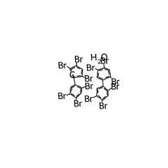 Brc1cc(Br)c(-c2cc(Br)c(Br)cc2Br)cc1Br.Brc1cc(Br)c(-c2cc(Br)c(Br)cc2Br)cc1Br.O